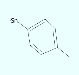 Cc1cc[c]([Sn])cc1